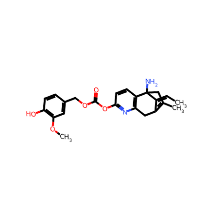 C/C=C1\C2=C(C)CC1(N)c1ccc(OC(=O)OCc3ccc(O)c(OC)c3)nc1C2